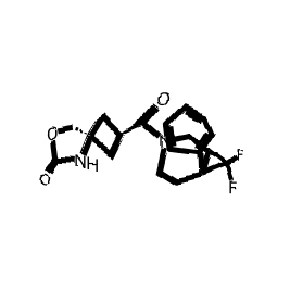 O=C1N[C@]2(CO1)C[C@H](C(=O)N1CCC3(c4ccccc4)C(C1)C3(F)F)C2